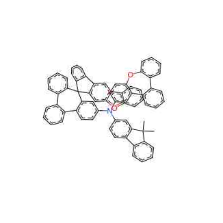 CC1(C)c2ccccc2-c2ccc(N(c3ccc4c(c3)-c3ccccc3-c3ccccc3O4)c3ccc4c(c3)C3(c5ccccc5-c5ccccc5-4)c4ccccc4-c4cc5c(cc43)oc3ccccc35)cc21